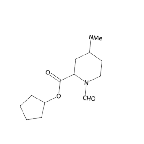 CNC1CCN(C=O)C(C(=O)OC2CCCC2)C1